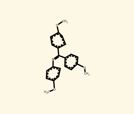 COc1ccc(N=C(c2ccc(OC)cc2)c2ccc(OC)cc2)cc1